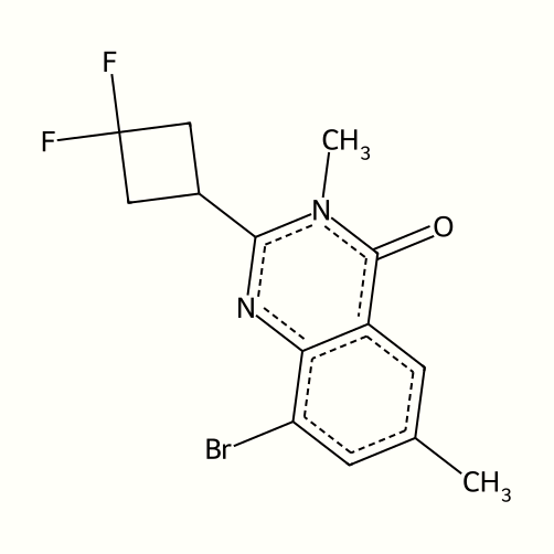 Cc1cc(Br)c2nc(C3CC(F)(F)C3)n(C)c(=O)c2c1